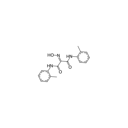 Cc1ccccc1NC(=O)C(=NO)C(=O)Nc1ccccc1C